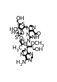 CO[C@H](CO)[C@@H](OC(C)COP(O)(=S)O[C@@H]1[C@H](O)[C@@H](CO)S[C@H]1n1cnc2c(=O)[nH]c(N)nc21)n1cnc2c(N)ncnc21